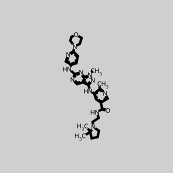 Cc1ncc(C(=O)NCCN2CCCC2(C)C)cc1Nc1nn(C)c2nc(Nc3ccc(N4CCOCC4)nc3)ncc12